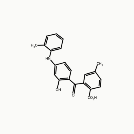 Cc1ccc(C(=O)O)c(C(=O)c2ccc(Nc3ccccc3C)cc2O)c1